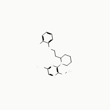 Cc1cnc(OC(C)(C)C)c(N2CCCCC2CCOc2ccccc2F)n1